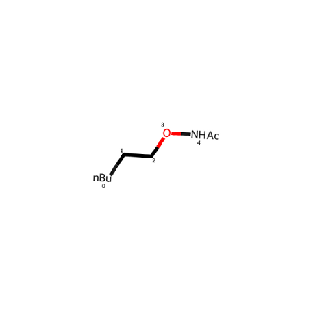 CCCCCCONC(C)=O